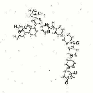 CCC(c1cccc(-c2nc(C(C)(C)C)sc2-c2ccnc(Nc3ccc(C4CCN(C(=O)C5CCN(c6ccc(C7CCC(=O)NC7=O)cn6)CC5)CC4)cc3)n2)c1F)S(N)(=O)=O